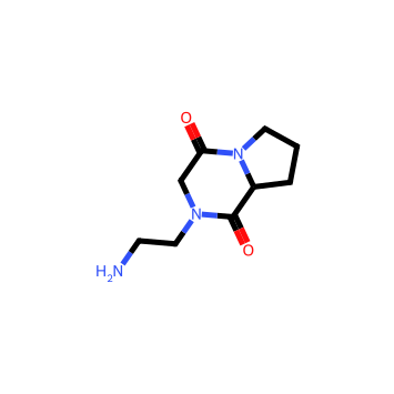 NCCN1CC(=O)N2CCCC2C1=O